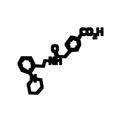 O=C(Cc1ccc(C(=O)O)cc1)NCCc1ccccc1N1CCCCC1